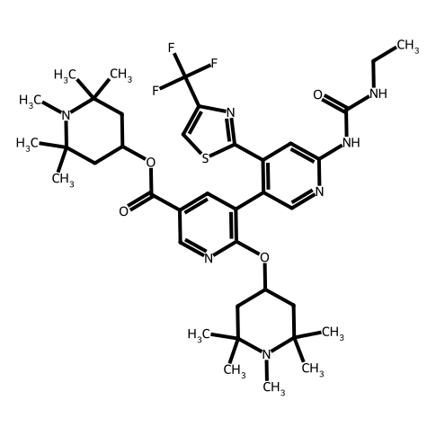 CCNC(=O)Nc1cc(-c2nc(C(F)(F)F)cs2)c(-c2cc(C(=O)OC3CC(C)(C)N(C)C(C)(C)C3)cnc2OC2CC(C)(C)N(C)C(C)(C)C2)cn1